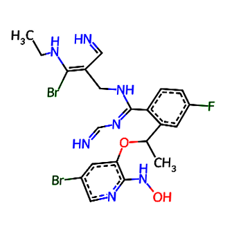 CCN/C(Br)=C(\C=N)CN/C(=N\C=N)c1ccc(F)cc1C(C)Oc1cc(Br)cnc1NO